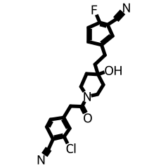 N#Cc1cc(CCC2(O)CCN(C(=O)Cc3ccc(C#N)c(Cl)c3)CC2)ccc1F